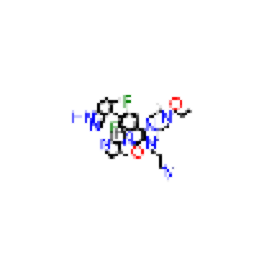 C=CC(=O)N1CC2CN(CCCN(C)C)c3c(c4cc(F)c(-c5c(C)ccc6[nH]ncc56)c(F)c4n(-c4c(C)ccnc4C(C)C)c3=O)N2CC1C